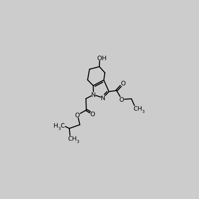 CCOC(=O)c1nn(CC(=O)OCC(C)C)c2c1CC(O)CC2